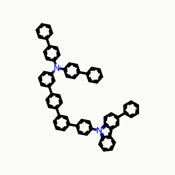 c1ccc(-c2ccc(N(c3ccc(-c4ccccc4)cc3)c3cccc(-c4ccc(-c5cccc(-c6ccc(-n7c8ccccc8c8cc(-c9ccccc9)ccc87)cc6)c5)cc4)c3)cc2)cc1